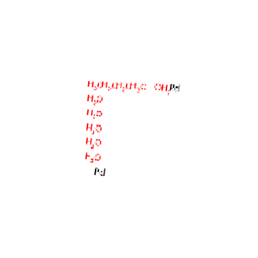 O.O.O.O.O.O.O.O.O.O.[Pd].[Pd]